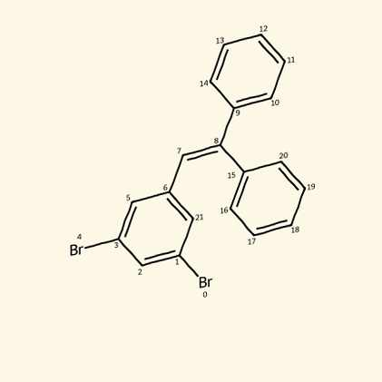 Brc1cc(Br)cc(C=C(c2ccccc2)c2ccccc2)c1